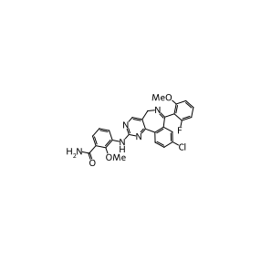 COc1cccc(F)c1C1=NCc2cnc(Nc3cccc(C(N)=O)c3OC)nc2-c2ccc(Cl)cc21